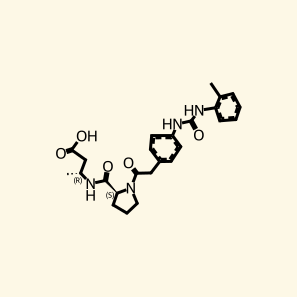 Cc1ccccc1NC(=O)Nc1ccc(CC(=O)N2CCC[C@H]2C(=O)N[C@H](C)CC(=O)O)cc1